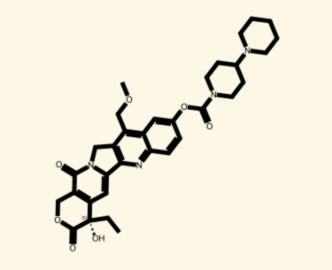 CC[C@@]1(O)C(=O)OCc2c1cc1n(c2=O)Cc2c-1nc1ccc(OC(=O)N3CCC(N4CCCCC4)CC3)cc1c2COC